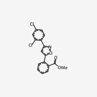 COC(=O)c1ccccc1-c1cc(-c2ccc(Cl)cc2Cl)no1